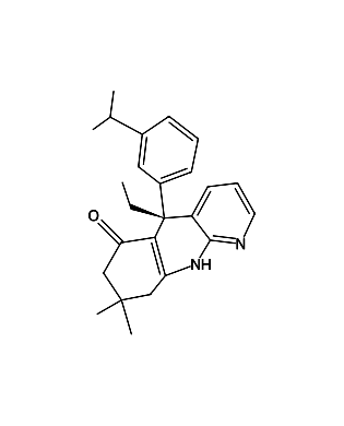 CC[C@]1(c2cccc(C(C)C)c2)C2=C(CC(C)(C)CC2=O)Nc2ncccc21